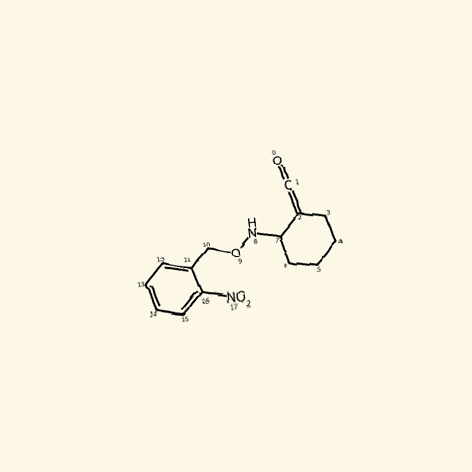 O=C=C1CCCCC1NOCc1ccccc1[N+](=O)[O-]